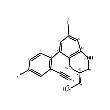 N#Cc1cc(F)ccc1-c1cc(F)cc2c1O[C@H](CN)CN2